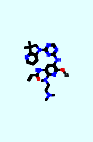 C=CC(=O)Nc1cc(Nc2ncnc(N3CC(C)(C)c4ncccc43)n2)c(OCC)nc1N(C)CCN(C)C